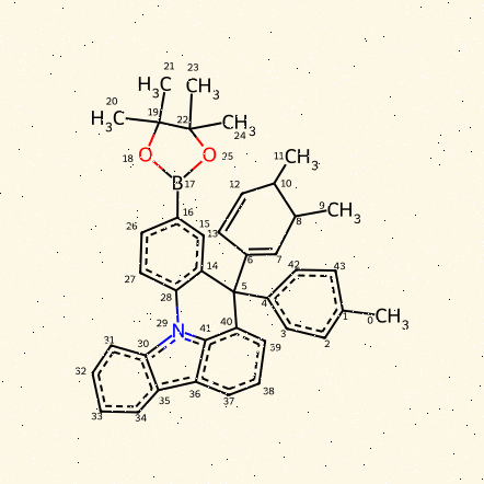 Cc1ccc(C2(C3=CC(C)C(C)C=C3)c3cc(B4OC(C)(C)C(C)(C)O4)ccc3-n3c4ccccc4c4cccc2c43)cc1